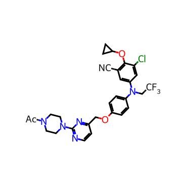 CC(=O)N1CCN(c2nccc(COc3ccc(N(CC(F)(F)F)c4cc(Cl)c(OC5CC5)c(C#N)c4)cc3)n2)CC1